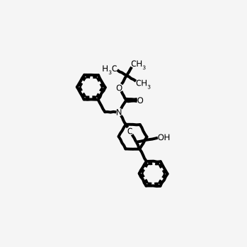 CC(C)(C)OC(=O)N(Cc1ccccc1)C12CCC(c3ccccc3)(CC1)C(O)C2